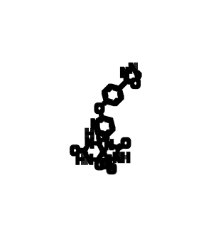 O=C1NC(=O)C2(C(=O)N1)N(c1ccc(Oc3ccc(-c4nnco4)cc3)nc1)C(=O)NS2(=O)=O